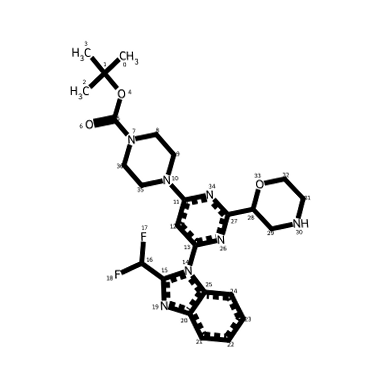 CC(C)(C)OC(=O)N1CCN(c2cc(-n3c(C(F)F)nc4ccccc43)nc(C3CNCCO3)n2)CC1